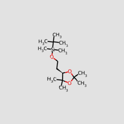 CC1(C)O[C@H](CCO[Si](C)(C)C(C)(C)C)C(C)(C)O1